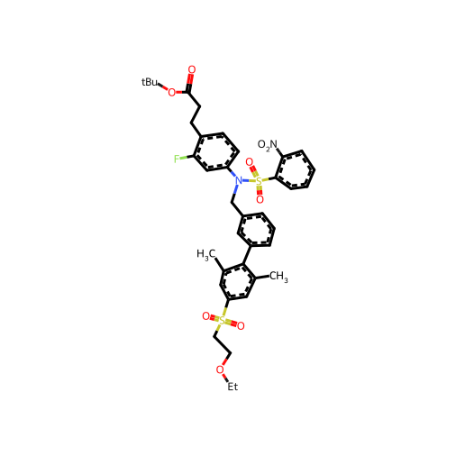 CCOCCS(=O)(=O)c1cc(C)c(-c2cccc(CN(c3ccc(CCC(=O)OC(C)(C)C)c(F)c3)S(=O)(=O)c3ccccc3[N+](=O)[O-])c2)c(C)c1